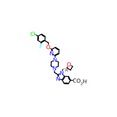 O=C(O)c1ccc2nc(CN3CCN(c4cccc(OCc5ccc(Cl)cc5F)n4)CC3)n(C[C@H]3CCO3)c2c1